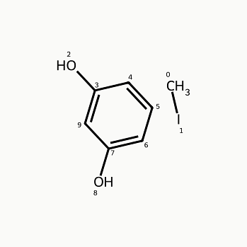 CI.Oc1cccc(O)c1